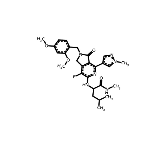 CNC(=O)C(CC(C)C)Nc1nc(-c2cnn(C)c2)c2c(c1F)CN(Cc1ccc(OC)cc1OC)C2=O